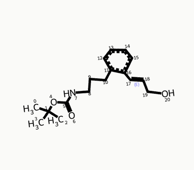 CC(C)(C)OC(=O)NCCCc1ccccc1/C=C/CO